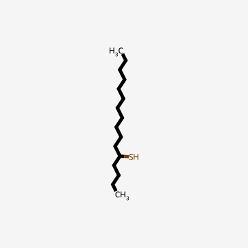 CCCCCCCCCCCC(S)CCCC